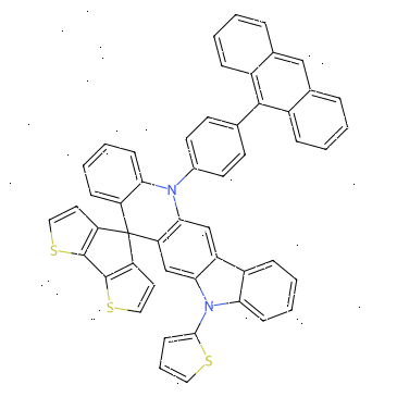 c1csc(-n2c3ccccc3c3cc4c(cc32)C2(c3ccccc3N4c3ccc(-c4c5ccccc5cc5ccccc45)cc3)c3ccsc3-c3sccc32)c1